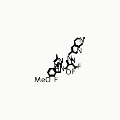 COc1ccc(-n2cc(C)nn2)c(CNC(=O)c2cn(Cc3cnc4c(c3)CCN(C)C4)nc2C(F)F)c1F